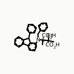 CCC(C)(C(=O)O)[C@@](C)(C(=O)O)N(Cc1ccccc1)c1cccc2c1C(c1ccccc1)c1ccccc1-2